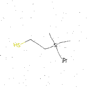 CC(C)[Si](C)(C)CCS